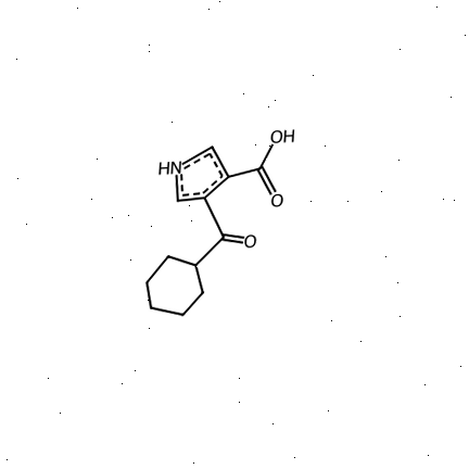 O=C(O)c1c[nH]cc1C(=O)C1CCCCC1